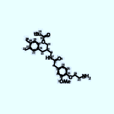 COc1cc(CC(=O)NCC(COC(=O)C(C)(C)C)Cc2ccc(C)c(C)c2)ccc1OCCN